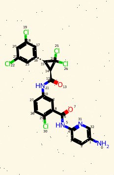 Nc1ccc(NC(=O)c2cc(NC(=O)[C@H]3[C@H](c4cc(Cl)cc(Cl)c4)C3(Cl)Cl)ccc2Cl)nc1